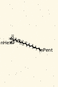 CCCCCC=CCC=CCCCCCCCCOCCC(OCCCCCC)N(C)C